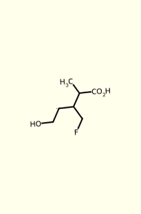 CC(C(=O)O)C([CH]CO)CF